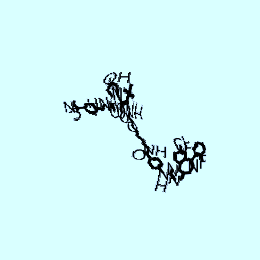 Cc1ncsc1-c1ccc(CNC(=O)[C@@H]2C[C@@H](O)CN2C(=O)[C@@H](NC(=O)COCCCCNC(=O)c2ccc(Nc3ncc4c(n3)-c3ccc(Cl)cc3C(c3c(F)cccc3F)=NC4)cc2)C(C)(C)C)cc1